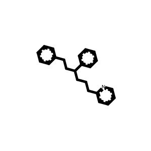 [c]1ccc(CCC(CCCc2ccccn2)c2ccccc2)cc1